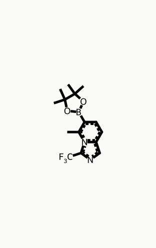 Cc1c(B2OC(C)(C)C(C)(C)O2)ccc2cnc(C(F)(F)F)n12